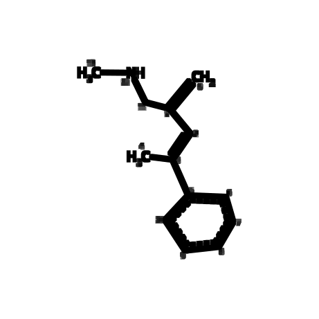 C=C(/C=C(\C)c1ccccc1)CNC